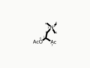 CC(=O)OC(C[N+](C)(C)C)C(C)=O